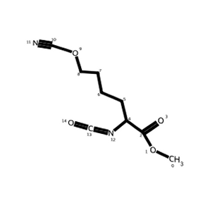 COC(=O)C(CCCCOC#N)N=C=O